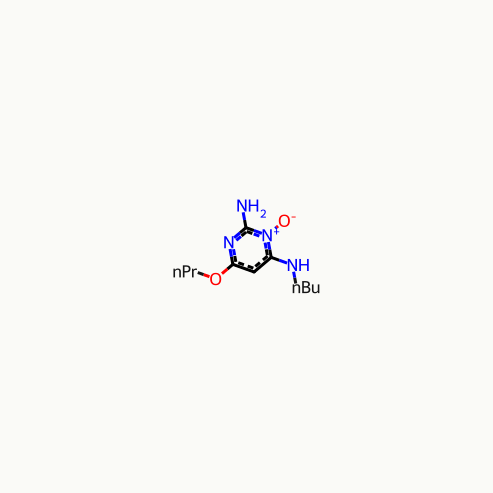 CCCCNc1cc(OCCC)nc(N)[n+]1[O-]